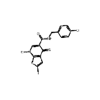 CCn1cc(C(=O)NCc2ccc(Cl)cc2)c(=S)c2cc(I)sc21